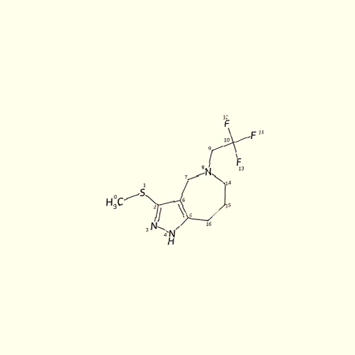 CSc1n[nH]c2c1CN(CC(F)(F)F)CCC2